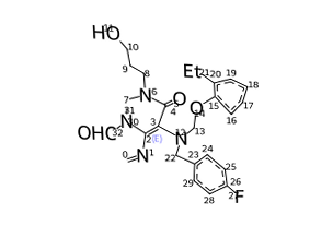 C=N/C(=C(/C(=O)N(C)CCCO)N(COc1ccccc1CC)Cc1ccc(F)cc1)N(C)C=O